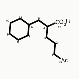 CC(=O)CCCC(CC1CCCCC1)C(=O)O